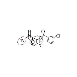 O=C(CNC(=O)c1cccc(Cl)c1)NC1CC2CCC(C1)N2Cc1ccc(Cl)c(Cl)c1